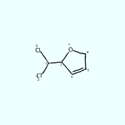 ClC(Cl)C1C=CCO1